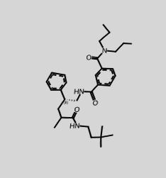 CCCN(CCC)C(=O)c1cccc(C(=O)NC[C@H](CC(C)C(=O)NCCC(C)(C)C)c2ccccc2)c1